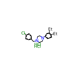 CCc1ccc(N2CCN(Cc3ccc(Cl)cc3)CC2)cc1CC.Cl.Cl